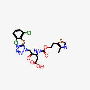 Cc1ncsc1CCOC(=O)NC(CC(=O)O)C(=O)Cn1nnnc1Sc1c(Cl)cccc1Cl